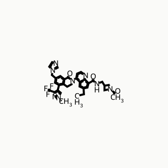 CCc1cc(C(=O)NCC2CN(C(C)=O)C2)c2nccc(N3CCc4c(cc(Cn5ccnc5)cc4-c4cn(C)nc4C(F)(F)F)C3=O)c2c1